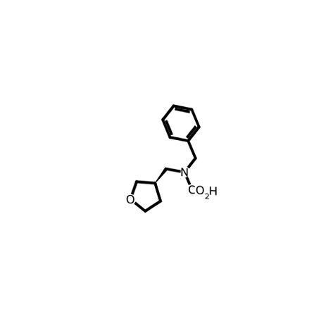 O=C(O)N(Cc1ccccc1)C[C@H]1CCOC1